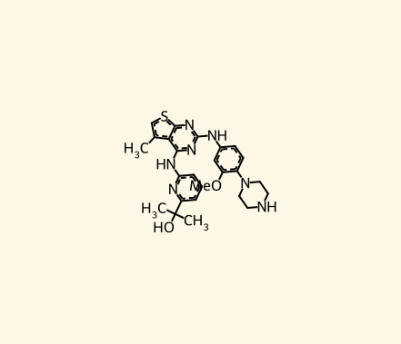 COc1cc(Nc2nc(Nc3cccc(C(C)(C)O)n3)c3c(C)csc3n2)ccc1N1CCNCC1